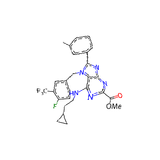 COC(=O)c1nc(NCCC2CC2)c2c(n1)nc(-c1cccc(C)c1)n2Cc1ccc(F)c(C(F)(F)F)c1